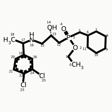 CCOP(=O)(CC1CCCCC1)C[C@@H](O)CNC(C)c1ccc(Cl)c(Cl)c1